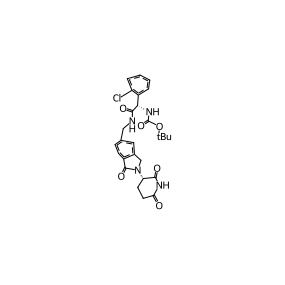 CC(C)(C)OC(=O)N[C@H](C(=O)NCc1ccc2c(c1)CN([C@H]1CCC(=O)NC1=O)C2=O)c1ccccc1Cl